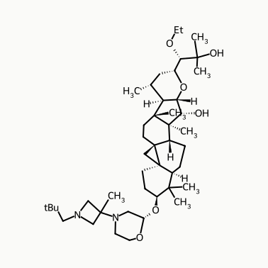 CCO[C@@H]([C@H]1C[C@@H](C)[C@H]2[C@H](O1)[C@H](O)[C@@]1(C)[C@@H]3CC[C@H]4C(C)(C)[C@@H](O[C@H]5CN(C6(C)CN(CC(C)(C)C)C6)CCO5)CC[C@@]45C[C@@]35CC[C@]21C)C(C)(C)O